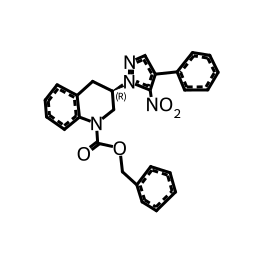 O=C(OCc1ccccc1)N1C[C@H](n2ncc(-c3ccccc3)c2[N+](=O)[O-])Cc2ccccc21